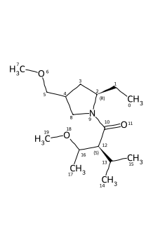 CC[C@@H]1CC(COC)CN1C(=O)[C@@H](C(C)C)C(C)OC